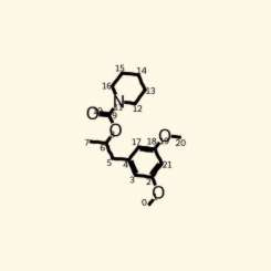 COc1cc(CC(C)OC(=O)N2CCCCC2)cc(OC)c1